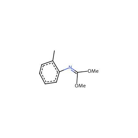 COC(=Nc1ccccc1C)OC